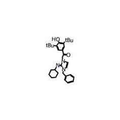 CC(C)(C)c1cc(C(=O)Cn2ccn(Cc3ccccc3)/c2=N\C2CCCCC2)cc(C(C)(C)C)c1O